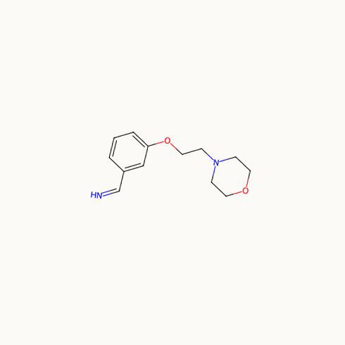 N=Cc1cccc(OCCN2CCOCC2)c1